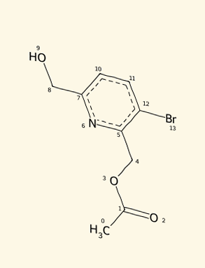 CC(=O)OCc1nc(CO)ccc1Br